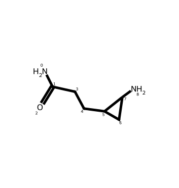 NC(=O)CCC1CC1N